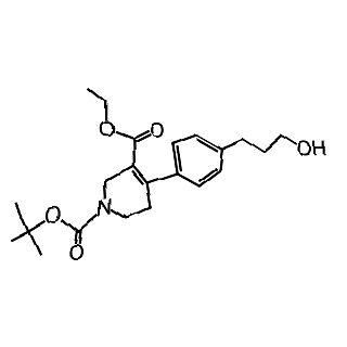 CCOC(=O)C1=C(c2ccc(CCCO)cc2)CCN(C(=O)OC(C)(C)C)C1